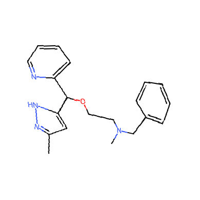 Cc1cc(C(OCCN(C)Cc2ccccc2)c2ccccn2)[nH]n1